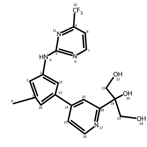 Cc1cc(Nc2nccc(C(F)(F)F)n2)cc(-c2ccnc(C(O)(CO)CO)c2)c1